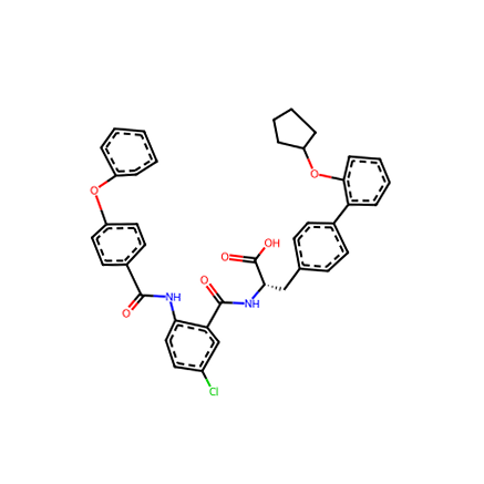 O=C(Nc1ccc(Cl)cc1C(=O)N[C@@H](Cc1ccc(-c2ccccc2OC2CCCC2)cc1)C(=O)O)c1ccc(Oc2ccccc2)cc1